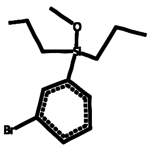 CCC[Si](CCC)(OC)c1cccc(Br)c1